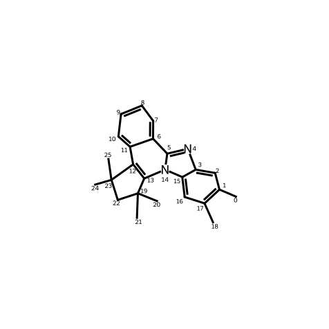 Cc1cc2nc3c4ccccc4c4c(n3c2cc1C)C(C)(C)CC4(C)C